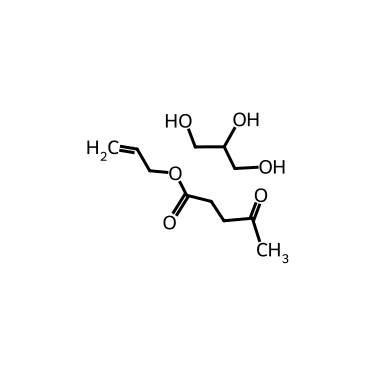 C=CCOC(=O)CCC(C)=O.OCC(O)CO